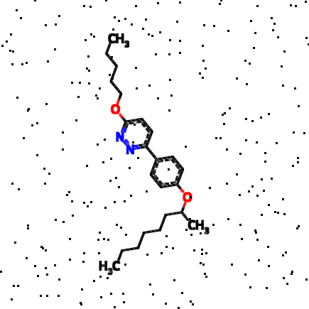 CCCCCCC(C)Oc1ccc(-c2ccc(OCCCCC)nn2)cc1